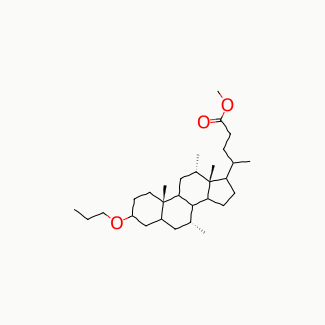 CCCOC1CC[C@@]2(C)C(C1)C[C@@H](C)C1C2C[C@H](C)[C@]2(C)C(C(C)CCC(=O)OC)CCC12